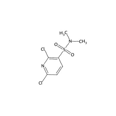 CN(C)S(=O)(=O)c1ccc(Cl)nc1Cl